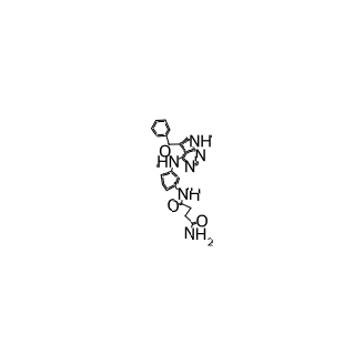 NC(=O)CCC(=O)Nc1cccc(Nc2ncnc3[nH]cc(C(=O)c4ccccc4)c23)c1